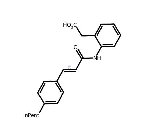 CCCCCc1ccc(/C=C/C(=O)Nc2ccccc2CC(=O)O)cc1